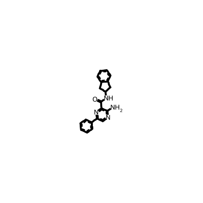 Nc1ncc(-c2ccccc2)nc1C(=O)NC1Cc2ccccc2C1